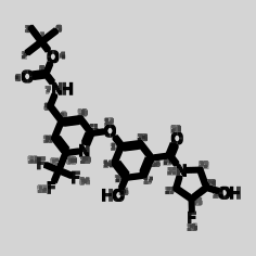 CC(C)(C)OC(=O)NCc1cc(Oc2cc(O)cc(C(=O)N3CC(O)C(F)C3)c2)nc(C(F)(F)F)c1